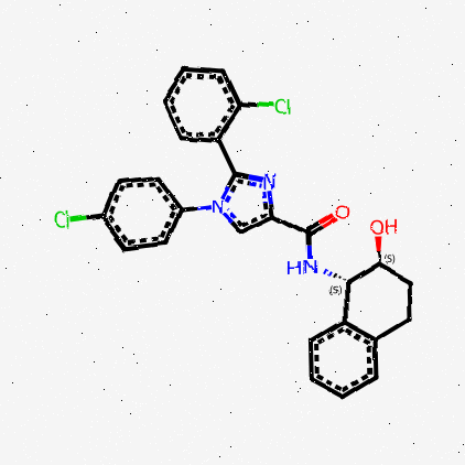 O=C(N[C@H]1c2ccccc2CC[C@@H]1O)c1cn(-c2ccc(Cl)cc2)c(-c2ccccc2Cl)n1